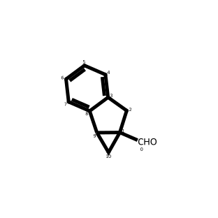 O=CC12Cc3ccccc3C1C2